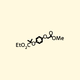 CCOC(=O)C(C)(C)Oc1ccc(OCC(=O)OC)cc1